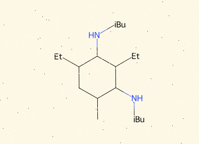 CCC(C)NC1C(C)CC(CC)C(NC(C)CC)C1CC